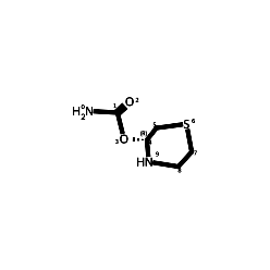 NC(=O)O[C@@H]1CSCCN1